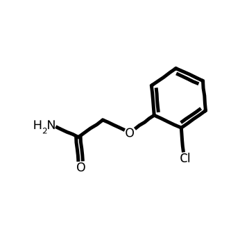 NC(=O)COc1ccccc1Cl